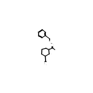 CC(=NOCc1ccccc1)C1CCCC(C#N)C1